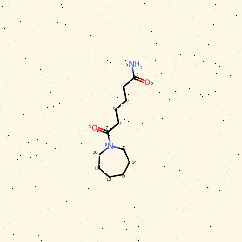 NC(=O)CCCCC(=O)N1CCCCCC1